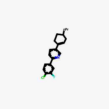 CCCC1CC=C(c2ccc(-c3ccc(Cl)c(F)c3)nc2)CC1